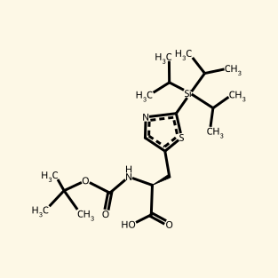 CC(C)[Si](c1ncc(C[C@H](NC(=O)OC(C)(C)C)C(=O)O)s1)(C(C)C)C(C)C